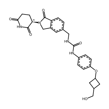 O=C1CC[C@@H](N2Cc3cc(CNC(=O)Nc4ccc(OC5CC(CO)C5)cc4)ccc3C2=O)C(=O)N1